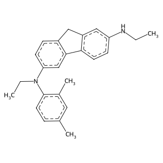 CCNc1ccc2c(c1)Cc1ccc(N(CC)c3ccc(C)cc3C)cc1-2